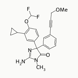 COCC#Cc1cccc(C2(c3ccc(OC(F)F)c(C4CC4)c3)N=C(N)N(C)C2=O)c1